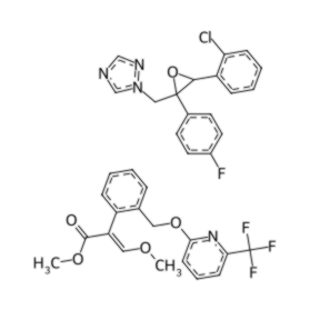 CO/C=C(/C(=O)OC)c1ccccc1COc1cccc(C(F)(F)F)n1.Fc1ccc(C2(Cn3cncn3)OC2c2ccccc2Cl)cc1